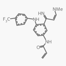 C=CC(=O)Nc1ccc(Nc2ccc(C(F)(F)F)cc2)c(C(=N)/C=C\NC)c1